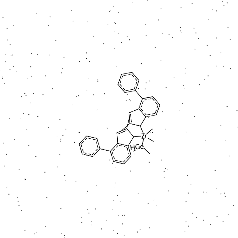 CC1=Cc2c(-c3ccccc3)cccc2[CH]1[Zr]([CH3])([CH3])([CH]1C(C)=Cc2c(-c3ccccc3)cccc21)[GeH]([CH3])[CH3]